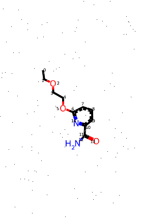 CCOCCOc1cc[c]c(C(N)=O)n1